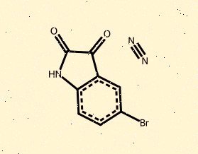 N#N.O=C1Nc2ccc(Br)cc2C1=O